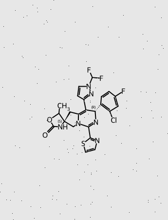 CC1OC(=O)N[C@]12CC1=C(c3ccn(C(F)F)n3)[C@H](c3ccc(F)cc3Cl)N=C(c3nccs3)N1C2